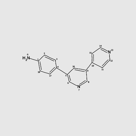 Nc1ccc(-c2cncc(-c3ccncc3)c2)cc1